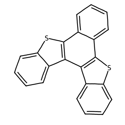 c1ccc2c(c1)sc1c3ccccc3c3sc4ccccc4c3c21